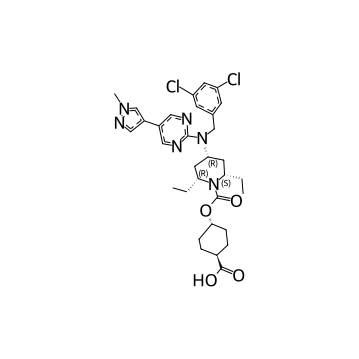 CC[C@@H]1C[C@H](N(Cc2cc(Cl)cc(Cl)c2)c2ncc(-c3cnn(C)c3)cn2)C[C@H](CC)N1C(=O)O[C@H]1CC[C@H](C(=O)O)CC1